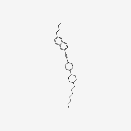 CCCCCCCC1CCC(c2ccc(C#Cc3ccc4cc(CCCC)ccc4c3)cc2)CC1